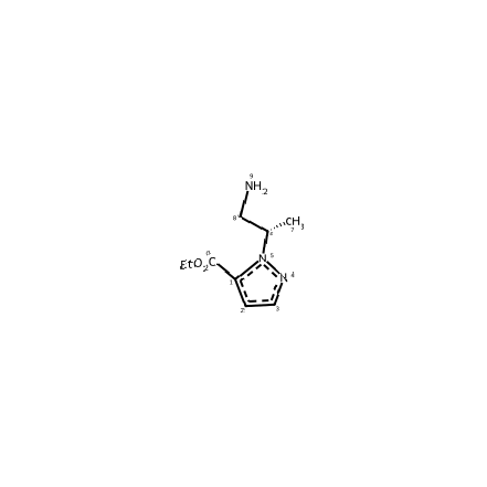 CCOC(=O)c1ccnn1[C@@H](C)CN